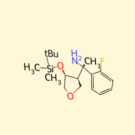 CC(C)(C)[Si](C)(C)O[C@@H]1COC[C@@H]1[C@](C)(N)c1ccccc1F